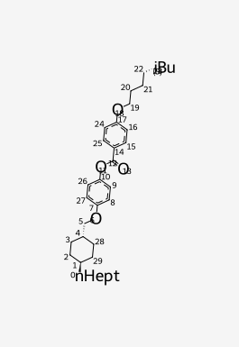 CCCCCCC[C@H]1CC[C@H](COc2ccc(OC(=O)c3ccc(OCCCC[C@@H](C)CC)cc3)cc2)CC1